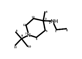 CCNC1(C)CCN(C(C)(C)C)CC1